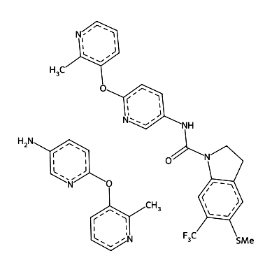 CSc1cc2c(cc1C(F)(F)F)N(C(=O)Nc1ccc(Oc3cccnc3C)nc1)CC2.Cc1ncccc1Oc1ccc(N)cn1